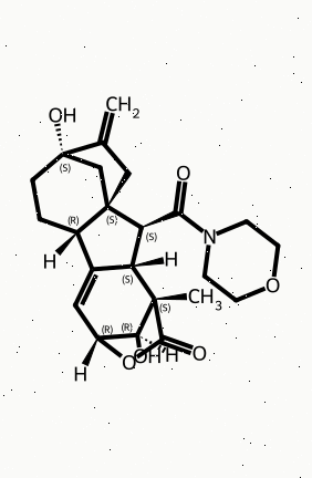 C=C1C[C@]23C[C@@]1(O)CC[C@H]2C1=C[C@H]2OC(=O)[C@@](C)([C@H]1[C@@H]3C(=O)N1CCOCC1)[C@H]2O